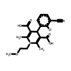 COCCN1C(C)=C(C(=O)O)C(c2cccc(C#N)c2Cl)C(C(=O)O)=C1C